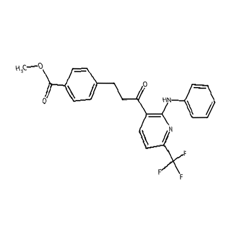 COC(=O)c1ccc(CCC(=O)c2ccc(C(F)(F)F)nc2Nc2ccccc2)cc1